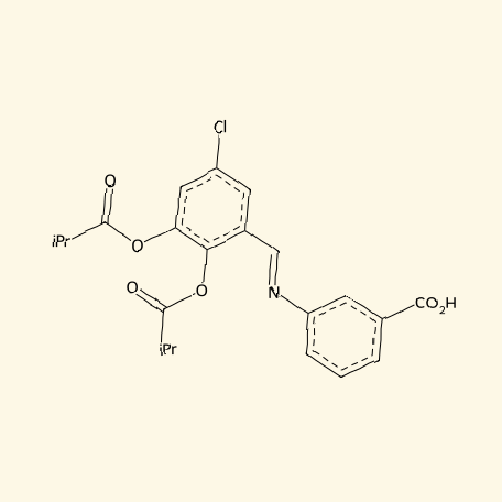 CC(C)C(=O)Oc1cc(Cl)cc(C=Nc2cccc(C(=O)O)c2)c1OC(=O)C(C)C